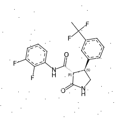 CC(F)(F)c1cccc([C@H]2CNC(=O)[C@@H]2C(=O)Nc2cccc(F)c2F)c1